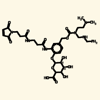 CN(C)CCN(CNCP)C(=O)OCc1ccc(OC2OC(C(=O)O)C(O)[C@H](O)[C@@H]2O)c(NC(=O)CCNC(=O)CCN2C(=O)C=CC2=O)c1